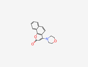 O=c1cc(N2CCOCC2)c2ccc3ccccc3c2o1